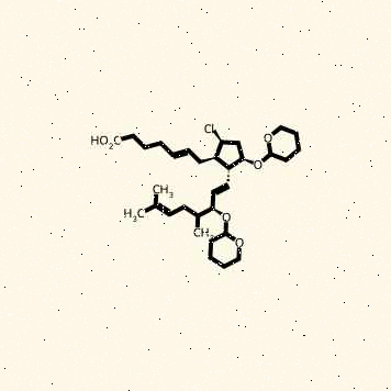 CC(C)=CCC(C)[C@@H](C=C[C@@H]1[C@@H](CC=CCCCC(=O)O)[C@@H](Cl)C[C@H]1OC1CCCCO1)OC1CCCCO1